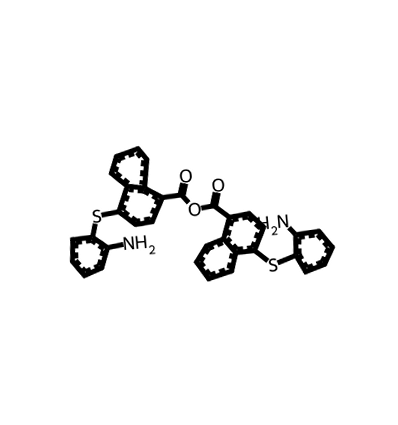 Nc1ccccc1Sc1ccc(C(=O)OC(=O)c2ccc(Sc3ccccc3N)c3ccccc23)c2ccccc12